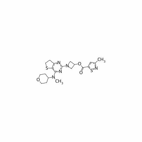 Cc1cc(C(=O)OC2CN(c3nc4c(c(N(C)C5CCOCC5)n3)SCC4)C2)sn1